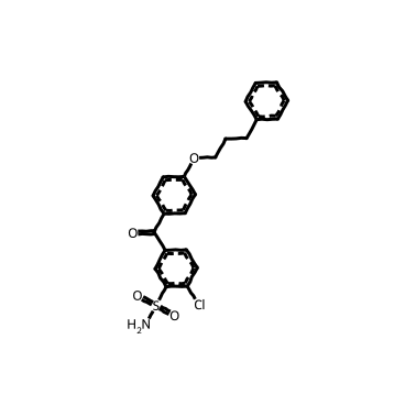 NS(=O)(=O)c1cc(C(=O)c2ccc(OCCCc3ccccc3)cc2)ccc1Cl